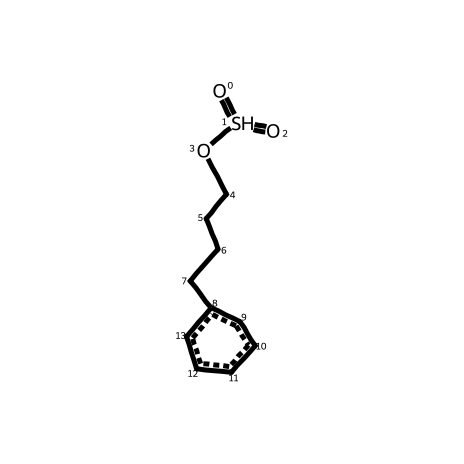 O=[SH](=O)OCCCCc1ccccc1